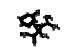 CN(C)C1CC1(C)C(N)=O.Clc1ccccc1